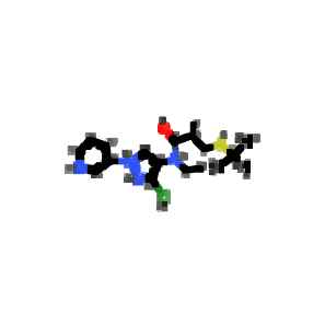 [2H]C([2H])([2H])SCC(C)C(=O)N(CC)c1cn(-c2cccnc2)nc1Cl